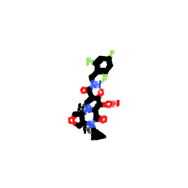 O=C(NCc1c(F)cc(F)cc1F)c1cn2c(c(O)c1=O)C(=O)N(C1CC1)[C@H]1COC[C@H]12